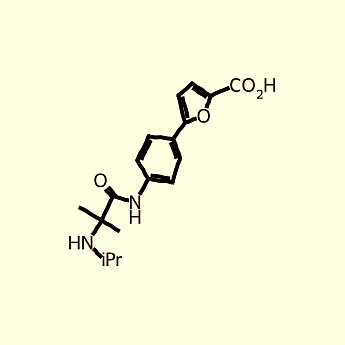 CC(C)NC(C)(C)C(=O)Nc1ccc(-c2ccc(C(=O)O)o2)cc1